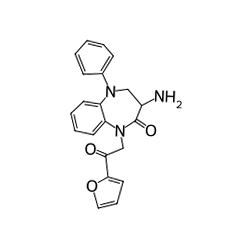 NC1CN(c2ccccc2)c2ccccc2N(CC(=O)c2ccco2)C1=O